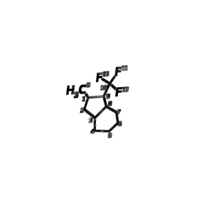 CC1CC2CCCCC2C1C(F)(F)F